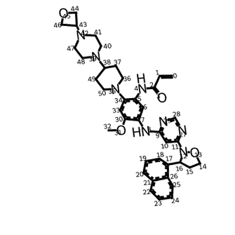 C=CC(=O)Nc1cc(Nc2cc(N3OCCC3c3cccc4ccccc34)ncn2)c(OC)cc1N1CCC(N2CCN(C3COC3)CC2)CC1